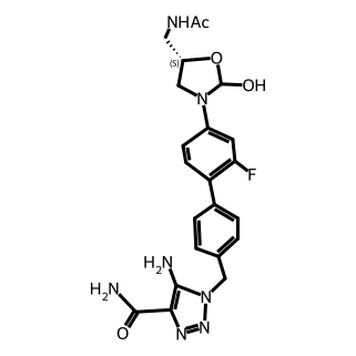 CC(=O)NC[C@H]1CN(c2ccc(-c3ccc(Cn4nnc(C(N)=O)c4N)cc3)c(F)c2)C(O)O1